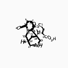 O=C(O)CCC(=O)O.O=c1cccc2n1C[C@@H]1CNC[C@H]2C1